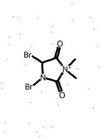 C[N+]1(C)C(=O)C(Br)N(Br)C1=O